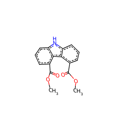 COC(=O)c1cccc2[nH]c3cccc(C(=O)OC)c3c12